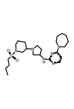 CCCCS(=O)(=O)N1CCCC(N2CCC(Nc3nccc(N4CCCCCC4)n3)C2)C1